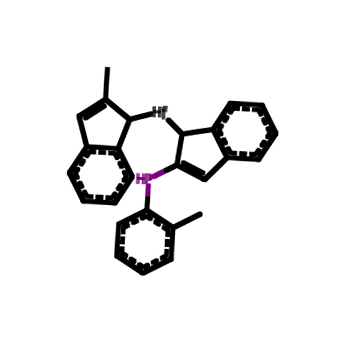 CC1=Cc2ccccc2[CH]1[Hf][CH]1C(Pc2ccccc2C)=Cc2ccccc21